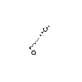 C=C(CCCSc1nnc(-c2ccc(C(N)=O)nc2)n1C)CC[C@@]1(CC)C[C@@H]1c1ccc(C(F)(F)F)cc1F